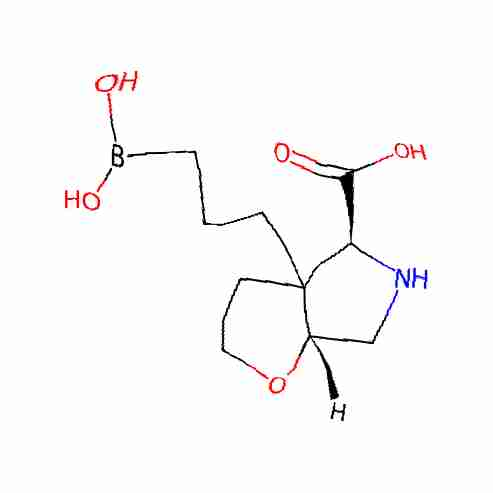 O=C(O)[C@H]1NC[C@@H]2OCCC21CCCB(O)O